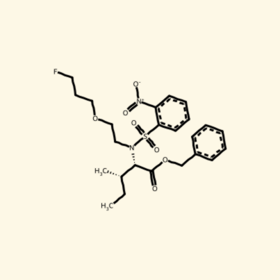 CC[C@H](C)[C@@H](C(=O)OCc1ccccc1)N(CCOCCCF)S(=O)(=O)c1ccccc1[N+](=O)[O-]